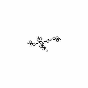 C=CC(=O)Oc1ccc(C#Cc2cc(OC(=O)C(=C)C(F)(F)F)c(C#Cc3ccc(/C=C/c4ccc(OC(=O)C=C)cc4)cc3)cc2OC(=O)C(=C)C)cc1